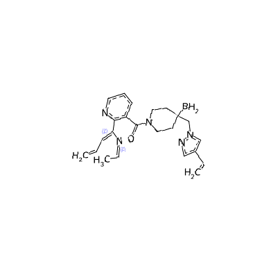 BC1(Cn2cc(C=C)cn2)CCN(C(=O)c2cccnc2C(=C/C=C)/N=C\C)CC1